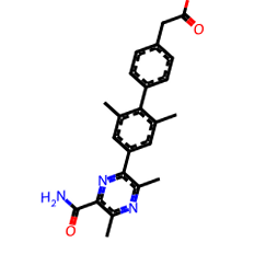 COC(=O)Cc1ccc(-c2c(C)cc(-c3nc(C(N)=O)c(C)nc3C)cc2C)cc1